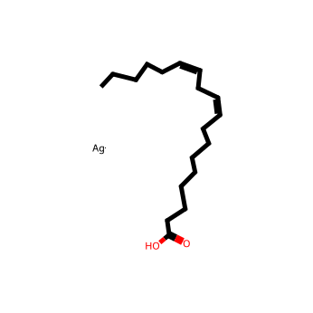 CCCCC/C=C\C/C=C\CCCCCCCC(=O)O.[Ag]